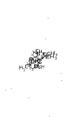 CCN1CCCCC(N(C(=O)C2CCC(C)CC2)c2cc(C#CC(C)(C)C)sc2C(=O)O)C1=O